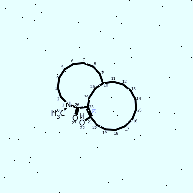 CN1CCCCCCCCC2CCCCCCCCCC/C(O)=C(\CC2)C1=O